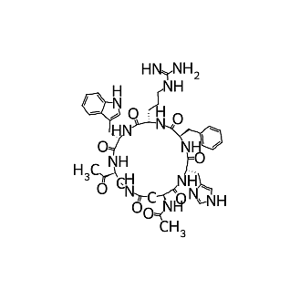 CC(=O)N[C@H]1CC(=O)NC[C@@H](C(C)=O)NC(=O)[C@H](Cc2c[nH]c3ccccc23)NC(=O)[C@H](CCCNC(=N)N)NC(=O)[C@@H](Cc2ccccc2)NC(=O)[C@H](Cc2c[nH]cn2)NC1=O